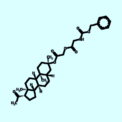 CC(=O)[C@H]1CC[C@H]2[C@@H]3CC[C@H]4C[C@](C)(OC(=O)COC(=O)CNC(=O)OCc5ccccc5)CC[C@]4(C)[C@H]3CC[C@]12C